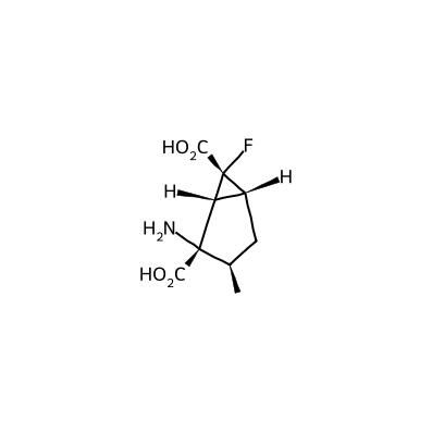 C[C@@H]1C[C@@H]2[C@H]([C@]1(N)C(=O)O)[C@@]2(F)C(=O)O